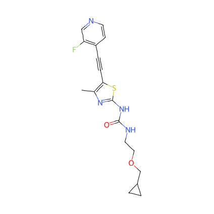 Cc1nc(NC(=O)NCCOCC2CC2)sc1C#Cc1ccncc1F